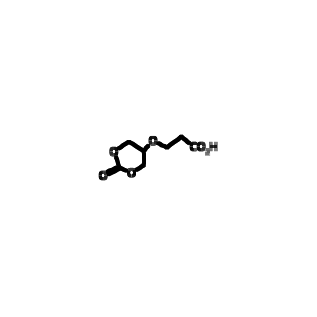 O=C(O)CCOC1COC(=O)OC1